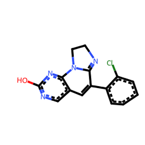 Oc1ncc2c(n1)N1CCN=C1C(c1ccccc1Cl)=C2